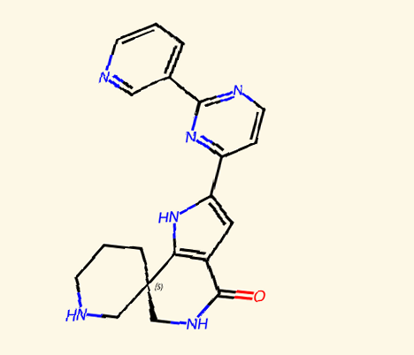 O=C1NC[C@@]2(CCCNC2)c2[nH]c(-c3ccnc(-c4cccnc4)n3)cc21